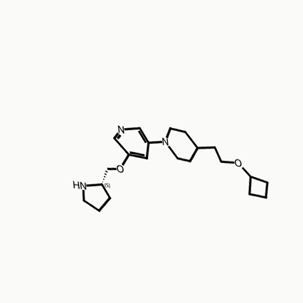 c1ncc(N2CCC(CCOC3CCC3)CC2)cc1OC[C@@H]1CCCN1